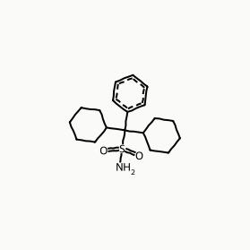 NS(=O)(=O)C(c1ccccc1)(C1CCCCC1)C1CCCCC1